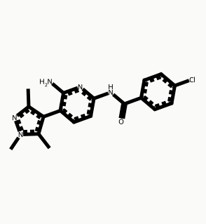 Cc1nn(C)c(C)c1-c1ccc(NC(=O)c2ccc(Cl)cc2)nc1N